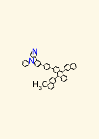 CC1CC=Cc2cc(-c3c4ccccc4c(-c4ccc5ccccc5c4)c4ccc(-c5ccc(-c6ccc7c(c6)c6cnccc6n7-c6ccccc6)cc5)cc34)ccc21